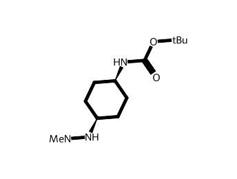 CNN[C@H]1CC[C@@H](NC(=O)OC(C)(C)C)CC1